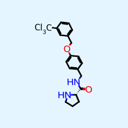 O=C(NCc1ccc(OCc2cccc(C(Cl)(Cl)Cl)c2)cc1)[C@@H]1CCCN1